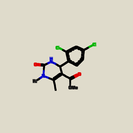 CCN1C(=O)NC(c2ccc(Cl)cc2Cl)C(C(=O)OC)=C1C